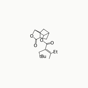 CC/C(C)=C(/CC(C)(C)C)C(=O)OC1C2CC3C(=O)OC1C3C2